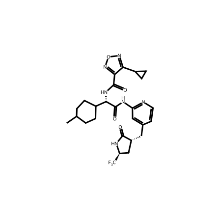 CC1CCC([C@H](NC(=O)c2nonc2C2CC2)C(=O)Nc2cc(C[C@@H]3C[C@@H](C(F)(F)F)NC3=O)ccn2)CC1